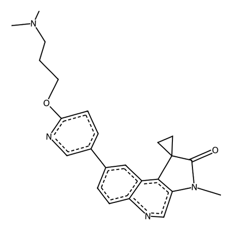 CN(C)CCCOc1ccc(-c2ccc3ncc4c(c3c2)C2(CC2)C(=O)N4C)cn1